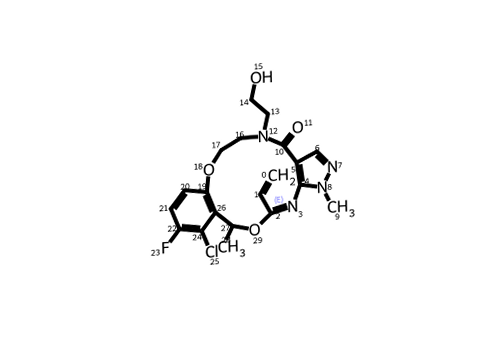 C=C/C1=N\c2c(cnn2C)C(=O)N(CCO)CCOc2ccc(F)c(Cl)c2C(C)O1